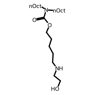 CCCCCCCCN(CCCCCCCC)C(=O)OCCCCCNCCO